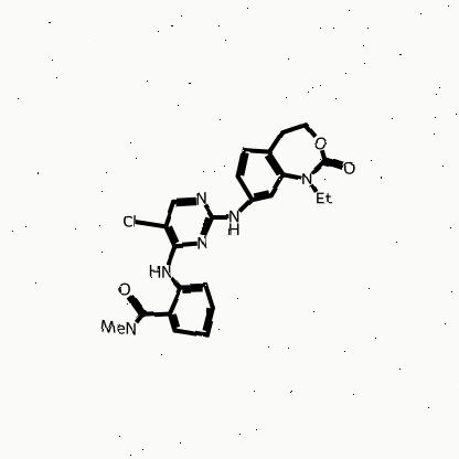 CCN1C(=O)OCCc2ccc(Nc3ncc(Cl)c(Nc4ccccc4C(=O)NC)n3)cc21